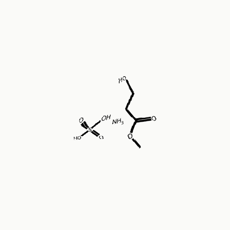 COC(=O)CCO.N.O=S(=O)(O)O